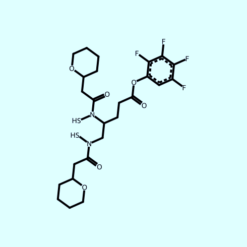 O=C(CCC(CN(S)C(=O)CC1CCCCO1)N(S)C(=O)CC1CCCCO1)Oc1cc(F)c(F)c(F)c1F